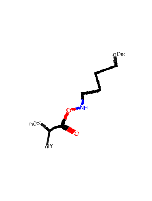 CCCCCCCCCCCCCCNOC(=O)C(CCC)CCCCCCCC